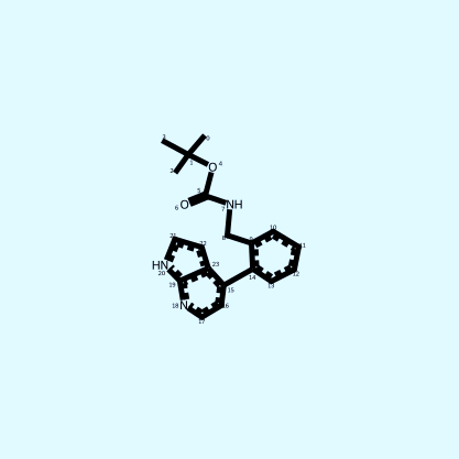 CC(C)(C)OC(=O)NCc1ccccc1-c1ccnc2[nH]ccc12